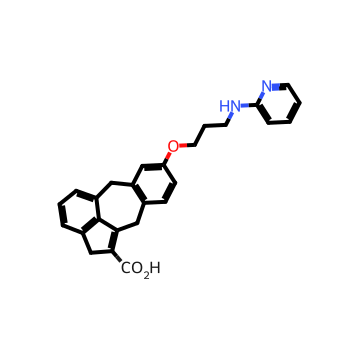 O=C(O)C1=C2Cc3ccc(OCCCNc4ccccn4)cc3Cc3cccc(c32)C1